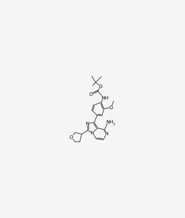 COc1cc(-c2nc(C3CCOC3)n3ccnc(N)c23)ccc1NC(=O)OC(C)(C)C